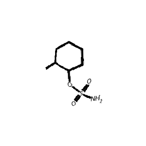 CC1CCCCC1OS(N)(=O)=O